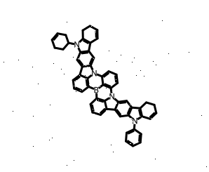 C1=Cc2c(c3cc4c(cc3n2-c2ccccc2)c2cccc3c2n4-c2cccc4c2B3c2cccc3c5cc6c(cc5n-4c23)c2c(n6C3CC=CCC3)CCC=C2)CC1